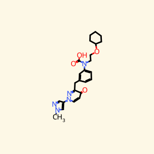 Cn1cc(-n2ccc(=O)c(Cc3cccc(N(CCOC4CCCCC4)C(=O)O)c3)n2)cn1